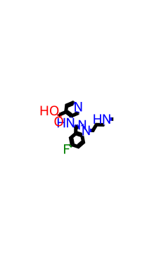 CNCCCn1nc(Nc2cnccc2C(=O)O)c2cc(F)ccc21